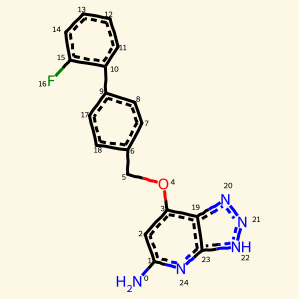 Nc1cc(OCc2ccc(-c3ccccc3F)cc2)c2nn[nH]c2n1